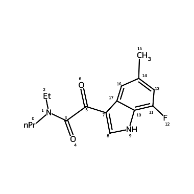 CCCN(CC)C(=O)C(=O)c1c[nH]c2c(F)cc(C)cc12